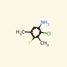 Cc1cc(N)c(Cl)c(C)c1F